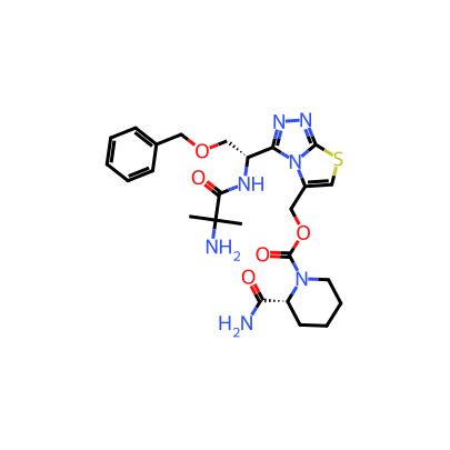 CC(C)(N)C(=O)N[C@H](COCc1ccccc1)c1nnc2scc(COC(=O)N3CCCC[C@@H]3C(N)=O)n12